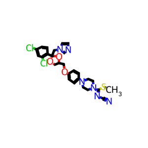 CSC(=NC#N)N1CCN(c2ccc(OCC3COC(Cn4ccnc4)(c4ccc(Cl)cc4Cl)O3)cc2)CC1